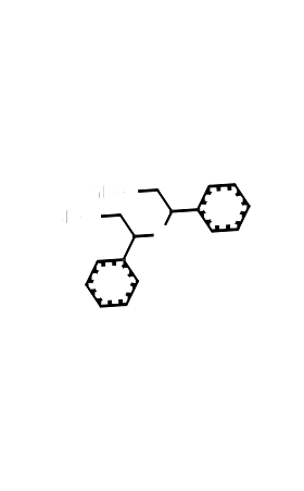 CCCCCCCCCCCC(SC(CCCCCCCCCCC)c1ccccc1)c1ccccc1